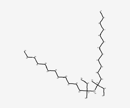 CCCCCCCCCCCCC(C)(CC)OC(C)(CC)CCCCCCCCCCCC